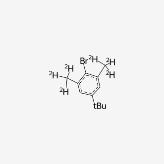 [2H]C([2H])([2H])c1cc(C(C)(C)C)cc(C([2H])([2H])[2H])c1Br